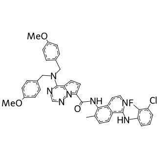 COc1ccc(CN(Cc2ccc(OC)cc2)c2ncnn3c(C(=O)Nc4c(C)ccc5c(Nc6cccc(Cl)c6F)nccc45)ccc23)cc1